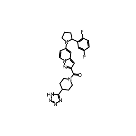 O=C(c1cc2cc(N3CCCC3c3cc(F)ccc3F)ccn2n1)N1CCC(c2nnn[nH]2)CC1